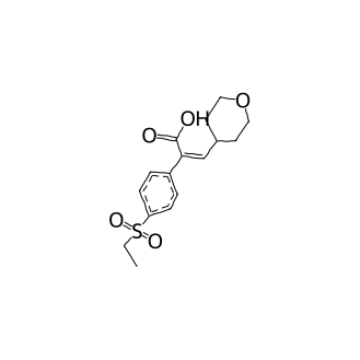 CCS(=O)(=O)c1ccc(C(=CC2CCOCC2)C(=O)O)cc1